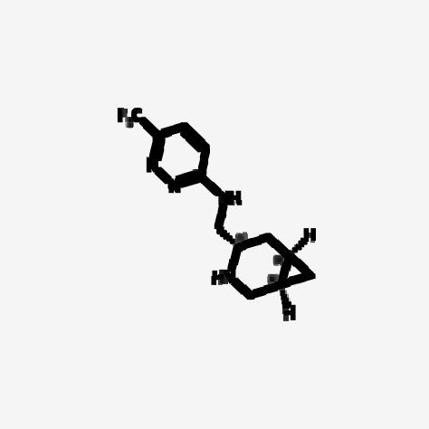 FC(F)(F)c1ccc(NC[C@@H]2C[C@H]3C[C@H]3CN2)nn1